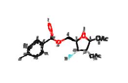 CC(=O)OC1O[C@H](COC(=O)c2ccc(C)cc2)[C@@H](F)[C@H]1OC(C)=O